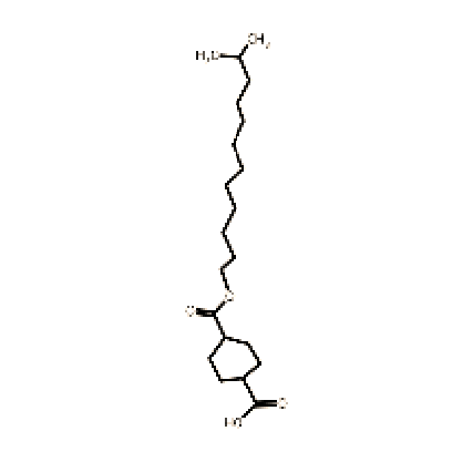 CC(C)CCCCCCCCCCOC(=O)C1CCC(C(=O)O)CC1